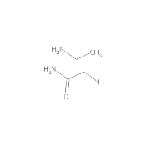 CCN.NC(=O)CI